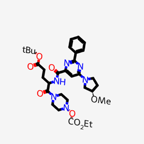 CCOC(=O)ON1CCN(C(=O)C(CCC(=O)OC(C)(C)C)NC(=O)c2cc(N3CC[C@H](OC)C3)nc(-c3ccccc3)n2)CC1